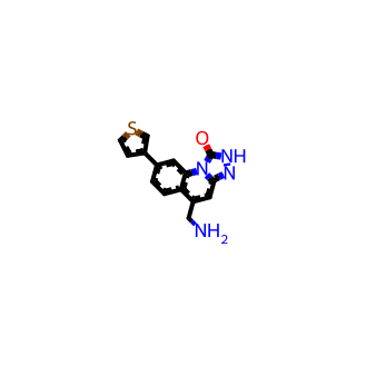 NCc1cc2n[nH]c(=O)n2c2cc(-c3ccsc3)ccc12